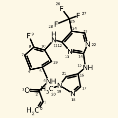 C=CC(=O)Nc1ccc(F)c(Nc2nc(Nc3cnn(C)c3)ncc2C(F)(F)F)c1